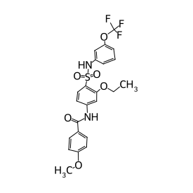 CCOc1cc(NC(=O)c2ccc(OC)cc2)ccc1S(=O)(=O)Nc1cccc(OC(F)(F)F)c1